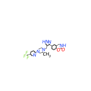 CC1CN(c2ccc(C(F)(F)F)cn2)CCN1Cc1c[nH]nc1-c1ccc2c(c1)CNC(=O)O2